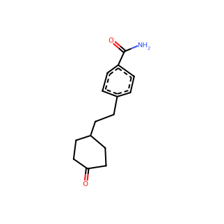 NC(=O)c1ccc(CCC2CCC(=O)CC2)cc1